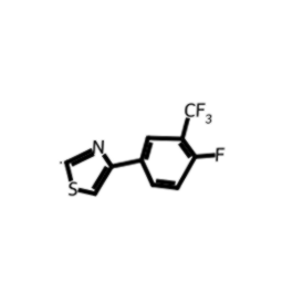 Fc1ccc(-c2cs[c]n2)cc1C(F)(F)F